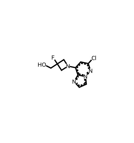 OCC1(F)CN(c2cc(Cl)nn3ccnc23)C1